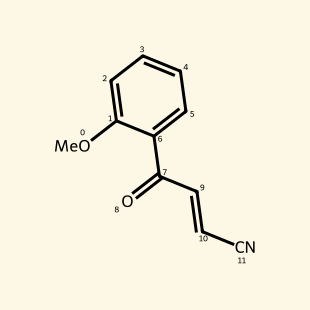 COc1ccccc1C(=O)/C=C/C#N